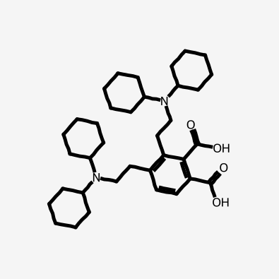 O=C(O)c1ccc(CCN(C2CCCCC2)C2CCCCC2)c(CCN(C2CCCCC2)C2CCCCC2)c1C(=O)O